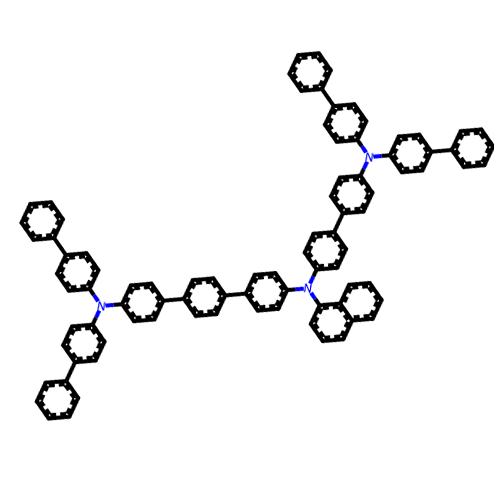 c1ccc(-c2ccc(N(c3ccc(-c4ccccc4)cc3)c3ccc(-c4ccc(-c5ccc(N(c6ccc(-c7ccc(N(c8ccc(-c9ccccc9)cc8)c8ccc(-c9ccccc9)cc8)cc7)cc6)c6cccc7ccccc67)cc5)cc4)cc3)cc2)cc1